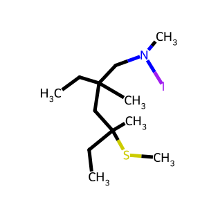 CCC(C)(CN(C)I)CC(C)(CC)SC